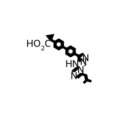 CC(C)=Cc1cncc(Nc2c(-c3ccc(-c4ccc(C5(C(=O)O)CC5)cc4)cc3)cnn2C)n1